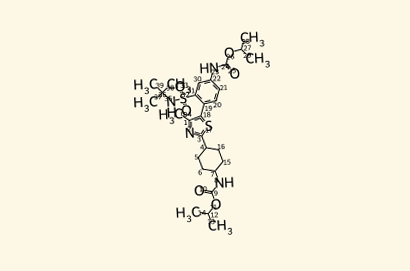 Cc1nc(C2CCC(NC(=O)OC(C)C)CC2)sc1-c1ccc(NC(=O)OC(C)C)cc1S(=O)(=O)NC(C)(C)C